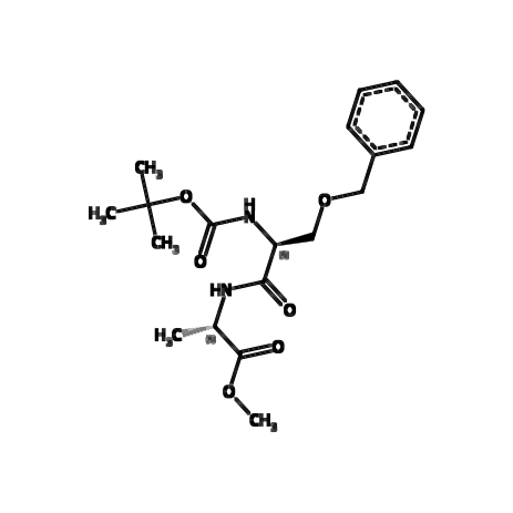 COC(=O)[C@H](C)NC(=O)[C@H](COCc1ccccc1)NC(=O)OC(C)(C)C